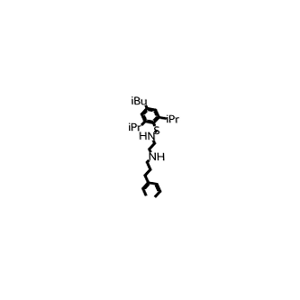 C/C=C\C(=C/C)CCCNCCNSc1c(C(C)C)cc(C(C)CC)cc1C(C)C